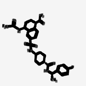 C[C@@H](NC(=O)[C@H]1CC[C@H](NS(=O)(=O)c2ccc3c(c2)C(NC(=O)C(F)(F)F)CCN3C(=O)C(F)(F)F)CC1)c1ccc(F)cc1